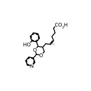 O=C(O)CCC/C=C\CC1COC(c2cccnc2)OC1c1ccccc1O